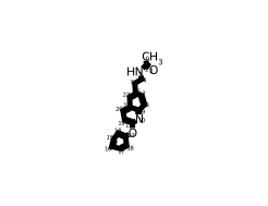 CC(=O)NCCc1ccc2nc(Oc3cc[c]cc3)ccc2c1